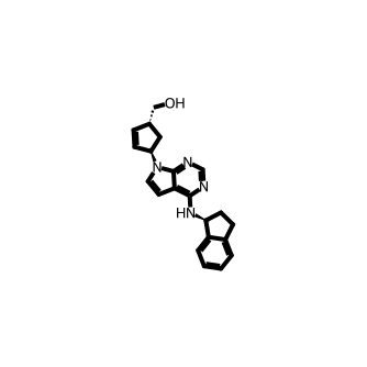 OC[C@H]1C=C[C@H](n2ccc3c(N[C@H]4CCc5ccccc54)ncnc32)C1